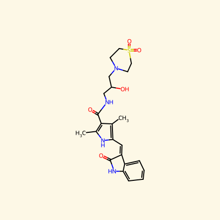 Cc1[nH]c(C=C2C(=O)Nc3ccccc32)c(C)c1C(=O)NCC(O)CN1CCS(=O)(=O)CC1